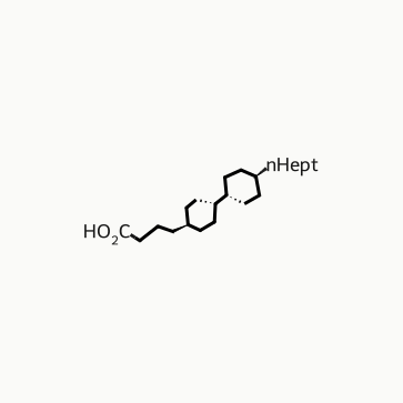 CCCCCCC[C@H]1CC[C@H]([C@H]2CC[C@H](CCCC(=O)O)CC2)CC1